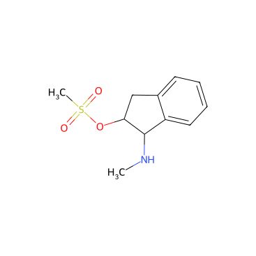 CNC1c2ccccc2CC1OS(C)(=O)=O